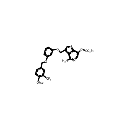 CCOC(=O)Oc1cnc(N)c2c(COc3cccc(OCc4ccc(OC)c(C(F)(F)F)c4)c3)csc12